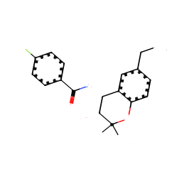 CCc1ccc2c(c1)[C@@H](NC(=O)c1ccc(F)cc1)[C@@H](O)C(C)(C)O2